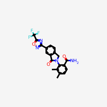 Cc1ccc(C(N)=O)c(N2Cc3ccc(-c4noc(C(F)(F)F)n4)cc3C2=O)c1C